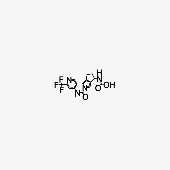 CN(C(=O)n1cc2c(c1)C(NC(=O)O)CC2)c1ccnc(C(F)(F)F)c1